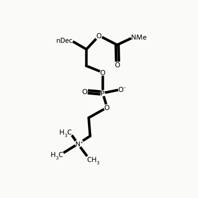 CCCCCCCCCCC(COP(=O)([O-])OCC[N+](C)(C)C)OC(=O)NC